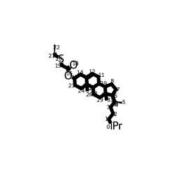 CC(C)CCC[C@H](C)C1CCC2C3CC=C4CC(OC(=O)CSCI)CCC4(C)C3CCC21C